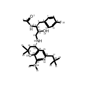 CC(=O)N[C@@H](Cc1ccc(F)cc1)[C@@H](O)CN[C@H]1CC(C)(C)Oc2c1cc(CC(C)(C)C)nc2N(C)C